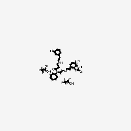 O=C(CCNCCc1cccc(Cl)c1)N(CCNCCc1ccc(O)c2[nH]c(=O)sc12)C1CCCCCC1.O=C(O)C(F)(F)F.O=C(O)C(F)(F)F